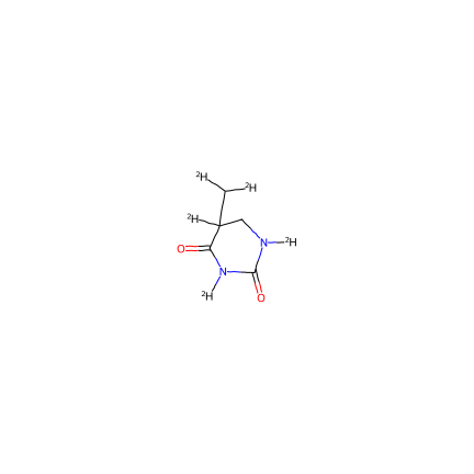 [2H]C([2H])C1([2H])CN([2H])C(=O)N([2H])C1=O